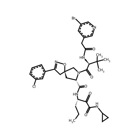 CCC[C@H](NC(=O)[C@@H]1C[C@]2(CC(c3cccc(Cl)c3)=NO2)CN1C(=O)[C@@H](NC(=O)Cc1cncc(Br)c1)C(C)(C)C)C(=O)C(=O)NC1CC1